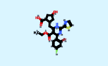 CCOC(=O)C1=C(CC2CC(O)CC2C(=O)O)NC(c2nccs2)=NC1c1ccc(F)cc1Br